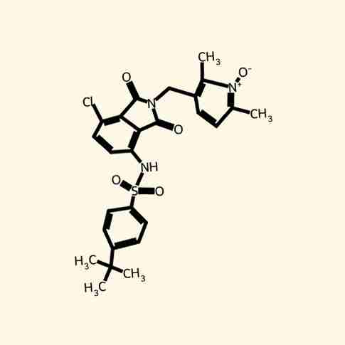 Cc1ccc(CN2C(=O)c3c(Cl)ccc(NS(=O)(=O)c4ccc(C(C)(C)C)cc4)c3C2=O)c(C)[n+]1[O-]